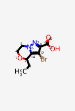 CCC1OCCn2nc(C(=O)O)c(Br)c21